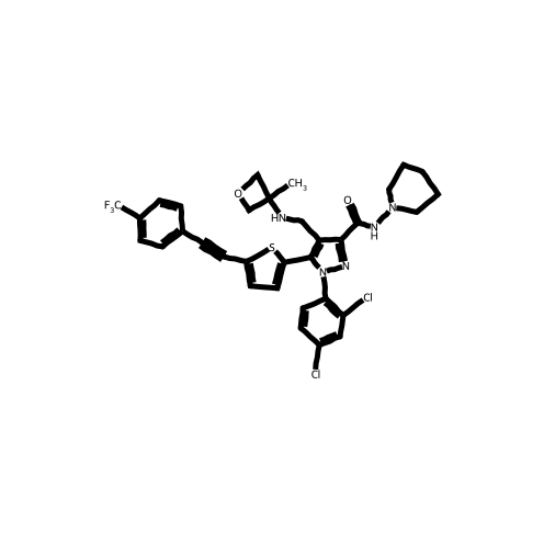 CC1(NCc2c(C(=O)NN3CCCCC3)nn(-c3ccc(Cl)cc3Cl)c2-c2ccc(C#Cc3ccc(C(F)(F)F)cc3)s2)COC1